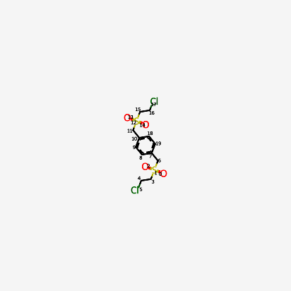 O=S(=O)(CCCl)Cc1ccc(CS(=O)(=O)CCCl)cc1